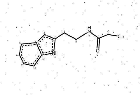 O=C(CCl)NCCc1cc2ccccc2[nH]1